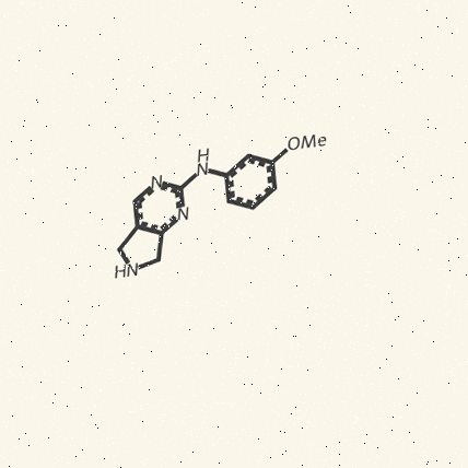 COc1cccc(Nc2ncc3c(n2)CNC3)c1